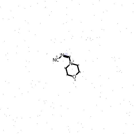 N#C/N=[C]\N1CCOCC1